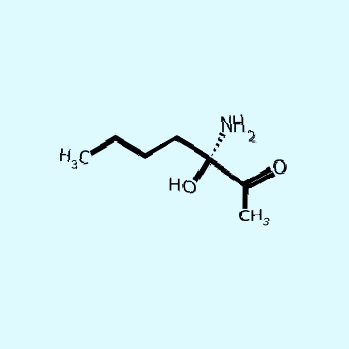 CCCC[C@](N)(O)C(C)=O